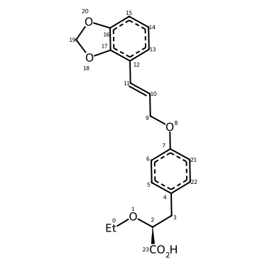 CCO[C@@H](Cc1ccc(OCC=Cc2cccc3c2OCO3)cc1)C(=O)O